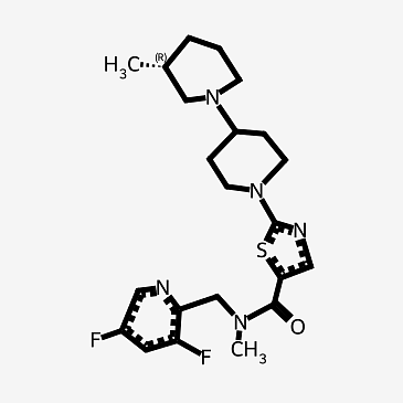 C[C@@H]1CCCN(C2CCN(c3ncc(C(=O)N(C)Cc4ncc(F)cc4F)s3)CC2)C1